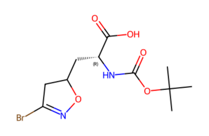 CC(C)(C)OC(=O)N[C@H](CC1CC(Br)=NO1)C(=O)O